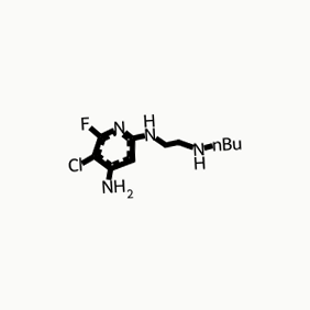 CCCCNCCNc1cc(N)c(Cl)c(F)n1